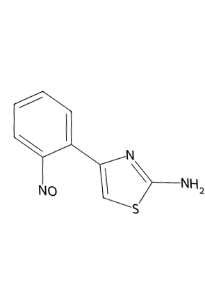 Nc1nc(-c2ccccc2N=O)cs1